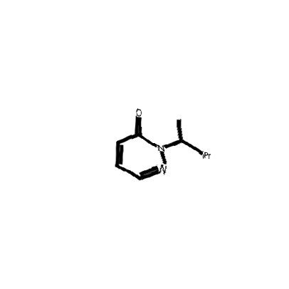 CC(C)C(C)n1ncccc1=O